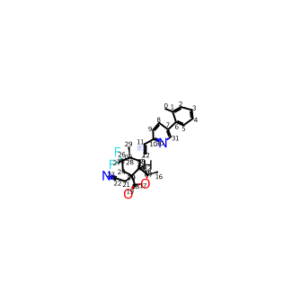 Cc1ccccc1-c1ccc(/C=C/[C@@H]2[C@@H]3[C@@H](C)OC(=O)[C@]3(CC#N)CC(F)(F)[C@H]2C)nc1